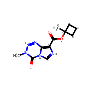 Cn1nnc2c(C(=O)OC3(C)CCC3)ncn2c1=O